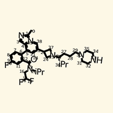 Cc1ncc2c(-c3ccc(F)cc3C(=O)N(CC(F)F)C(C)C)cc(C3CN([C@@H](CCCN4CCNCC4)C(C)C)C3)cn12